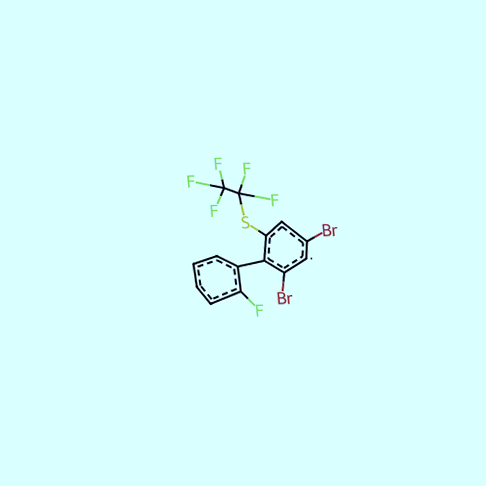 Fc1ccccc1-c1c(Br)[c]c(Br)cc1SC(F)(F)C(F)(F)F